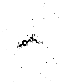 Cc1sc(-c2ccc(C(F)(F)F)cn2)nc1CCO